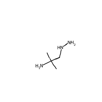 CC(C)(N)CNN